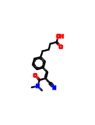 CN(C)C(=O)C(C#N)=Cc1cccc(CCCC(=O)O)c1